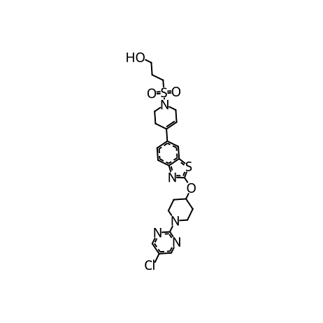 O=S(=O)(CCCO)N1CC=C(c2ccc3nc(OC4CCN(c5ncc(Cl)cn5)CC4)sc3c2)CC1